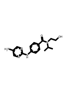 CC(C)N(CCO)C(=O)c1ccc(Nc2ncc(N)cn2)cc1